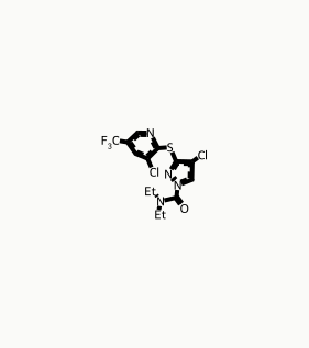 CCN(CC)C(=O)n1cc(Cl)c(Sc2ncc(C(F)(F)F)cc2Cl)n1